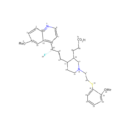 COc1ccc2nccc([C@@H](F)CCC3CCN(CCSc4ccccc4OC)CC3CCC(=O)O)c2c1